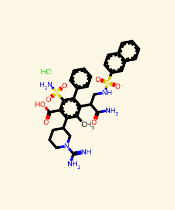 Cc1c(C2CCCN(C(=N)N)C2)c(C(=O)O)c(S(N)(=O)=O)c(-c2ccccc2)c1C(CNS(=O)(=O)c1ccc2ccccc2c1)C(N)=O.Cl